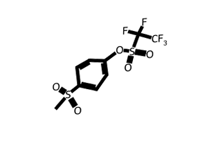 CS(=O)(=O)c1ccc(OS(=O)(=O)C(F)(F)C(F)(F)F)cc1